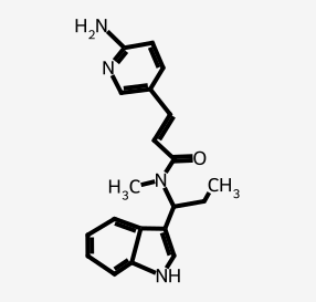 CCC(c1c[nH]c2ccccc12)N(C)C(=O)C=Cc1ccc(N)nc1